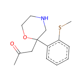 CSc1ccccc1C1(CC(C)=O)CNCCO1